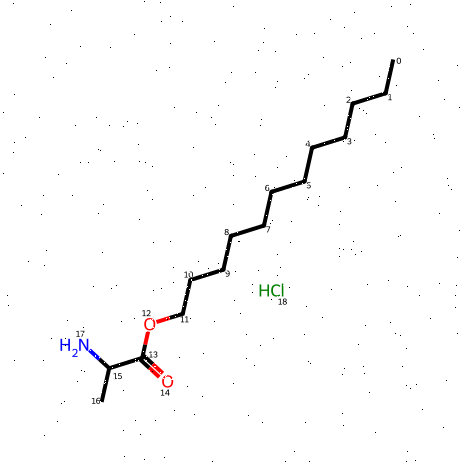 CCCCCCCCCCCCOC(=O)C(C)N.Cl